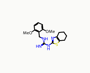 COc1cccc(OC)c1CNC(=N)Nc1nc2c(s1)CCCC2